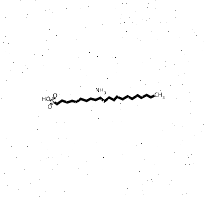 CCCCCCCCCCCCCCCCCCCCCCS(=O)(=O)O.N